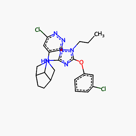 CCCn1nc(NC2C3CCC2CN(c2cnnc(Cl)c2)C3)nc1Oc1cccc(Cl)c1